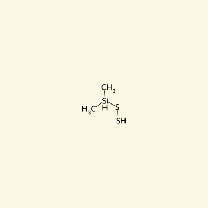 C[SiH](C)SS